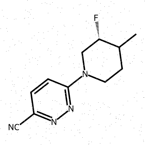 CC1CCN(c2ccc(C#N)nn2)C[C@@H]1F